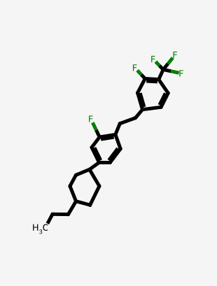 CCCC1CCC(c2ccc(CCc3ccc(C(F)(F)F)c(F)c3)c(F)c2)CC1